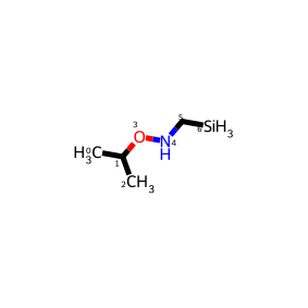 CC(C)ONC[SiH3]